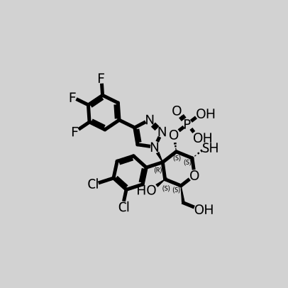 O=P(O)(O)O[C@@H]1[C@H](S)O[C@@H](CO)[C@@H](O)[C@@]1(c1ccc(Cl)c(Cl)c1)n1cc(-c2cc(F)c(F)c(F)c2)nn1